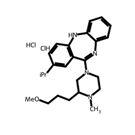 COCCCC1CN(C2=Nc3ccccc3Nc3ccc(C(C)C)cc32)CCN1C.Cl.Cl